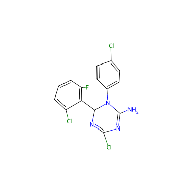 NC1=NC(Cl)=NC(c2c(F)cccc2Cl)N1c1ccc(Cl)cc1